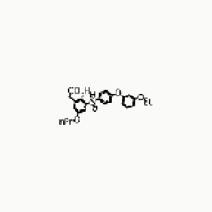 CCCOc1cc(CC(=O)O)cc([SH](=O)(I)c2ccc(Oc3cccc(OCC)c3)cc2)c1